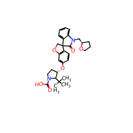 CC(C)(C)C1[C@@H](Oc2ccc3c(c2)OCC32C(=O)N(C[C@H]3CCCO3)c3ccccc32)CCN1C(=O)O